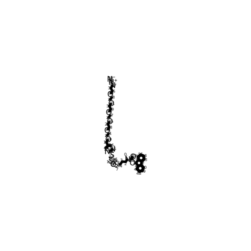 CN(CCC[Si](C)(C)O[Si](C)(C)CSc1ncc(COCCOCCOCCOCCOCCOCCN=[N+]=[N-])cn1)C(=O)OC1c2ccccc2-c2ccccc21